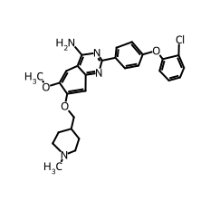 COc1cc2c(N)nc(-c3ccc(Oc4ccccc4Cl)cc3)nc2cc1OCC1CCN(C)CC1